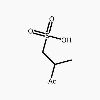 CC(=O)C(C)CS(=O)(=O)O